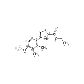 CCOC(=O)C1CCC(c2ccc(OC)c(C)c2C)N1